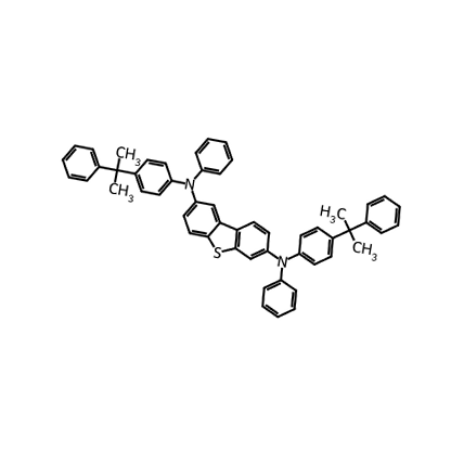 CC(C)(c1ccccc1)c1ccc(N(c2ccccc2)c2ccc3c(c2)sc2ccc(N(c4ccccc4)c4ccc(C(C)(C)c5ccccc5)cc4)cc23)cc1